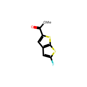 COC(=O)c1cc2cc(F)sc2s1